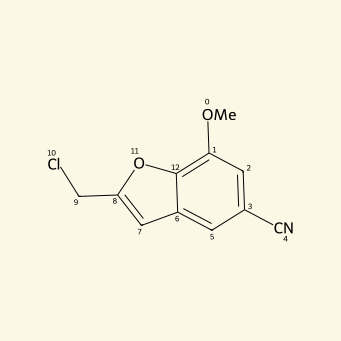 COc1cc(C#N)cc2cc(CCl)oc12